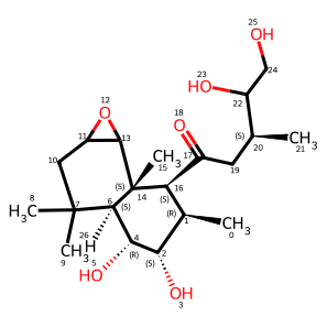 C[C@H]1[C@H](O)[C@H](O)[C@H]2C(C)(C)CC3OC3[C@]2(C)[C@H]1C(=O)C[C@H](C)C(O)CO